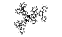 c1ccc(-c2cc(-c3ccccc3)cc(-n3c4ccccc4c4cc5c(cc43)c3ccccc3n5-c3nc(-c4ccc5c(c4)c4ccccc4n5-c4ccccc4)cc(-c4ccc5c(c4)c4ccccc4n5-c4ccccc4)n3)c2)cc1